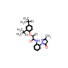 CCC(Oc1ccc(C(C)(C)CC)cc1C(C)(C)CC)C(=O)Nc1ccccc1N1N=C(C)CC1=O